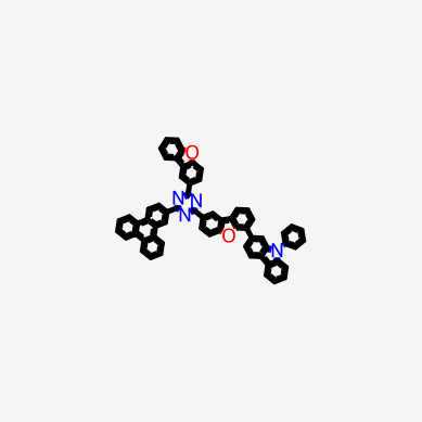 c1ccc(-n2c3ccccc3c3ccc(-c4cccc5c4oc4ccc(-c6nc(-c7ccc8oc9ccccc9c8c7)nc(-c7ccc8c9ccccc9c9ccccc9c8c7)n6)cc45)cc32)cc1